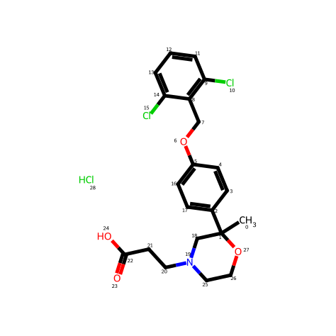 CC1(c2ccc(OCc3c(Cl)cccc3Cl)cc2)CN(CCC(=O)O)CCO1.Cl